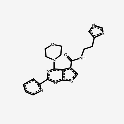 O=C(NCCc1cncs1)c1csc2nc(-c3ccccn3)nc(N3CCOCC3)c12